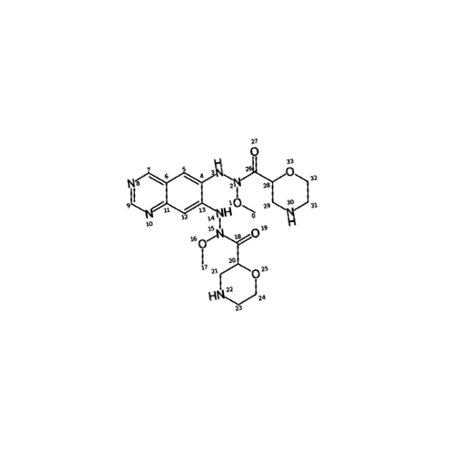 CON(Nc1cc2cncnc2cc1NN(OC)C(=O)C1CNCCO1)C(=O)C1CNCCO1